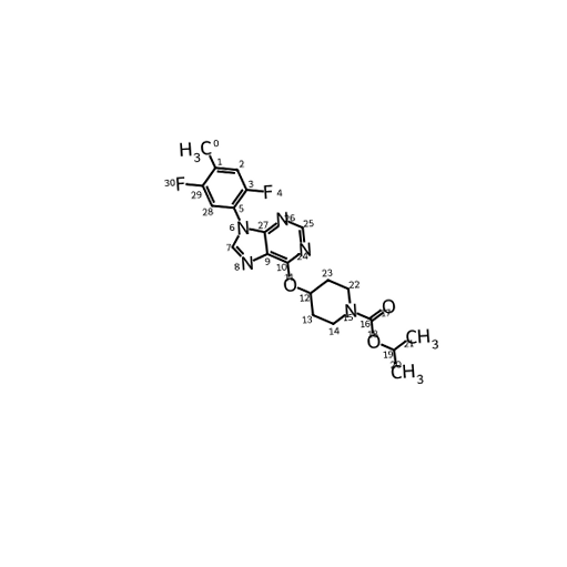 Cc1cc(F)c(-n2cnc3c(OC4CCN(C(=O)OC(C)C)CC4)ncnc32)cc1F